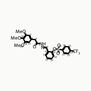 COc1cc(CC(=O)N/N=C/c2ccccc2OS(=O)(=O)c2ccc(C(F)(F)F)cc2)cc(OC)c1OC